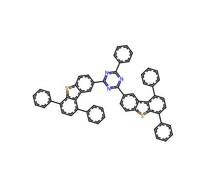 c1ccc(-c2nc(-c3ccc4sc5c(-c6ccccc6)ccc(-c6ccccc6)c5c4c3)nc(-c3ccc4sc5c(-c6ccccc6)ccc(-c6ccccc6)c5c4c3)n2)cc1